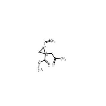 C=C[C@H]1C[C@@]1(CC(C)=O)C(=O)OC